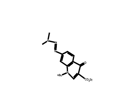 CCCCn1cc(C(=O)OCC)c(=O)c2ccc(N=NN(C)C)cc21